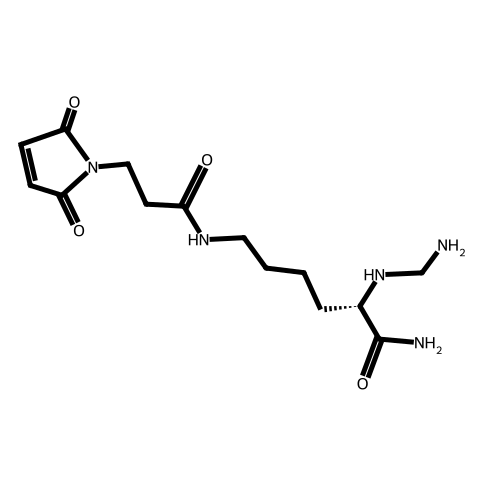 NCN[C@@H](CCCCNC(=O)CCN1C(=O)C=CC1=O)C(N)=O